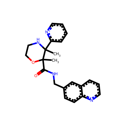 CC1(C(=O)NCc2ccc3ncccc3c2)OCCNC1(C)c1ccccn1